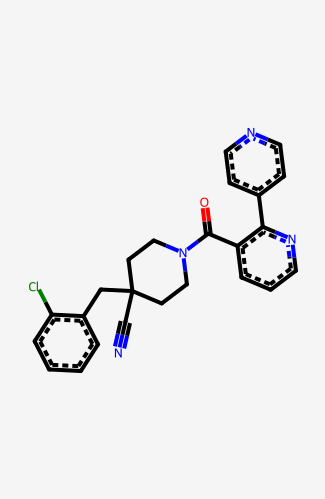 N#CC1(Cc2ccccc2Cl)CCN(C(=O)c2cccnc2-c2ccncc2)CC1